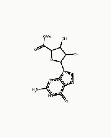 COC(=O)C1OC(n2cnc3c(=O)[nH]c(N)nc32)C(O)C1O